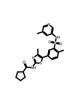 Cc1cncc(NS(=O)(=O)c2cc(-c3sc(NC(=O)C4CCCC4)nc3C)ccc2C)c1